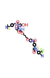 Cc1ncsc1-c1ccc(CNC(=O)[C@@H]2C[C@@H](O)CN2C(=O)C(NC(=O)COCCCCCOC2CCN(C(=O)c3ccc(N4C(=S)N(c5ccc(C#N)c(C(F)(F)F)c5)C(=O)C4(C)C)cc3)CC2)C(C)C)cc1